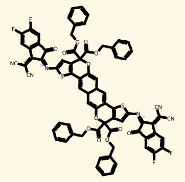 N#CC(C#N)=C1/C(=N/c2cc3c(s2)C2=CC4C=C5OC(C(=O)OCc6ccccc6)(C(=O)OCc6ccccc6)c6cc(/N=C7\C(=O)c8cc(F)c(F)cc8C7=C(C#N)C#N)sc6C5=CC4C=C2OC3(C(=O)OCc2ccccc2)C(=O)OCc2ccccc2)C(=O)c2cc(F)c(F)cc21